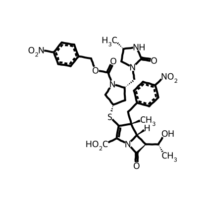 C[C@H]1CN(C[C@@H]2C[C@H](SC3=C(C(=O)O)N4C(=O)[C@H]([C@@H](C)O)[C@H]4[C@@]3(C)Cc3ccc([N+](=O)[O-])cc3)CN2C(=O)OCc2ccc([N+](=O)[O-])cc2)C(=O)N1